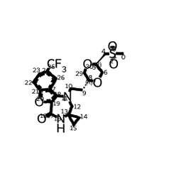 CS(=O)(=O)C[C@H]1CO[C@H](CCN2CC3(CC3)NC(=O)c3oc4ccc(C(F)(F)F)cc4c32)CO1